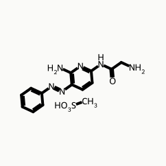 CS(=O)(=O)O.NCC(=O)Nc1ccc(N=Nc2ccccc2)c(N)n1